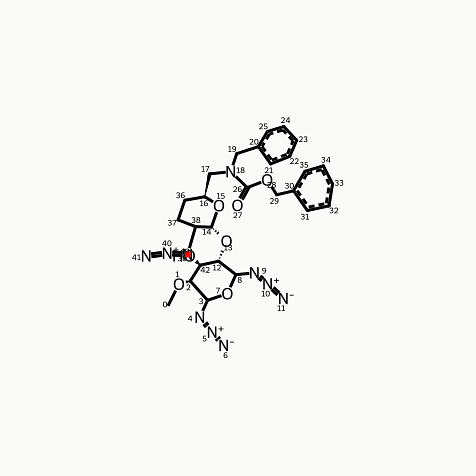 CO[C@H]1C(N=[N+]=[N-])OC(N=[N+]=[N-])[C@@H](O[C@H]2O[C@H](CN(Cc3ccccc3)C(=O)OCc3ccccc3)CCC2N=[N+]=[N-])[C@@H]1O